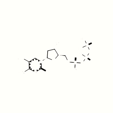 CCCc1cn([C@H]2C[C@H](O)[C@@H](COP(=O)(O)OP(=O)(O)OP(=O)(O)O)O2)c(=O)nc1N